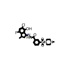 CC1C/C(=N\NC(=O)c2cccc(S(=O)(=O)N3CCN(C)CC3)c2)c2c(O)c(Cl)cc(F)c21